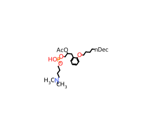 CCCCCCCCCCCCCCOc1ccccc1CC(COP(O)OCCCCN(C)C)OC(C)=O